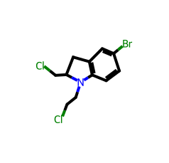 ClCCN1c2ccc(Br)cc2CC1CCl